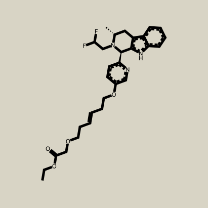 CCOC(=O)COCC/C=C/CCOc1ccc([C@@H]2c3[nH]c4ccccc4c3C[C@@H](C)N2CC(F)F)nc1